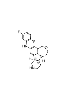 Fc1ccc(F)c(Nc2cc3c4c(c2)[C@@H]2CNCC[C@@H]2N4CCOC3)c1